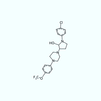 OC1C(N2CCN(c3ccc(OC(F)(F)F)cc3)CC2)CCN1c1ccc(Cl)cc1